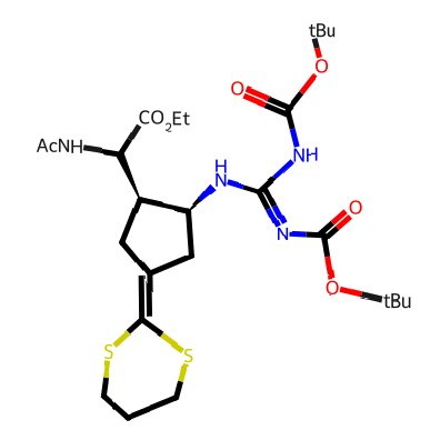 CCOC(=O)C(NC(C)=O)[C@@H]1CC(=C2SCCCS2)C[C@@H]1NC(=NC(=O)OC(C)(C)C)NC(=O)OC(C)(C)C